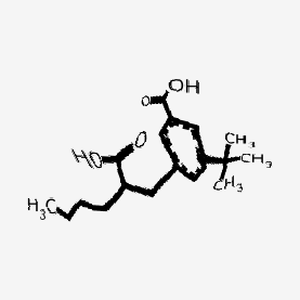 CCCCC(Cc1cc(C(=O)O)cc(C(C)(C)C)c1)C(=O)O